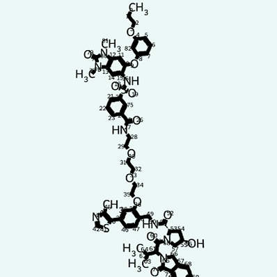 CCCOc1cccc(Oc2cc3c(cc2NS(=O)(=O)c2cccc(C(=O)NCCOCCOCCOc4cc(-c5scnc5C)ccc4CNC(=O)[C@@H]4C[C@@H](O)CN4C(=O)C(C(C)C)N4Cc5ccccc5C4=O)c2)n(C)c(=O)n3C)c1